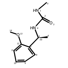 CNC(=O)N[C@@H](C)c1ccccc1OC